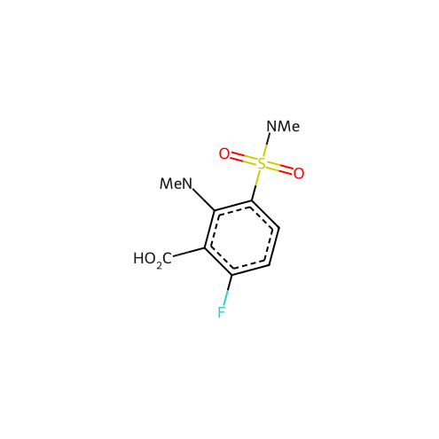 CNc1c(S(=O)(=O)NC)ccc(F)c1C(=O)O